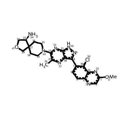 COc1cnc2ccc(-c3n[nH]c4nc(N5CCC6(CC5)COC[C@H]6N)c(C)nc34)c(Cl)c2n1